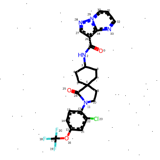 O=C(NC1CCC2(CC1)CCN(c1ccc(OC(F)(F)F)cc1Cl)C2=O)c1cnn2cccnc12